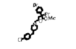 COC(=O)C(CCCN1CCC(=Cc2ccc(Cl)cc2)CC1)(c1ccc(Br)cc1)C(C)C